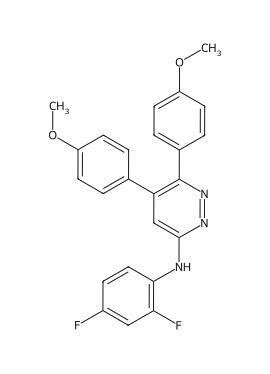 COc1ccc(-c2cc(Nc3ccc(F)cc3F)nnc2-c2ccc(OC)cc2)cc1